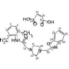 Cc1cccc(C)c1NC(=O)CN1CCN(Cc2nc3ccccc3o2)CC1.O=C(O)/C=C\C(=O)O